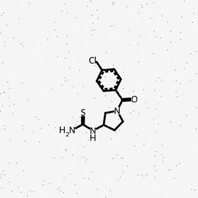 NC(=S)NC1CCN(C(=O)c2ccc(Cl)cc2)C1